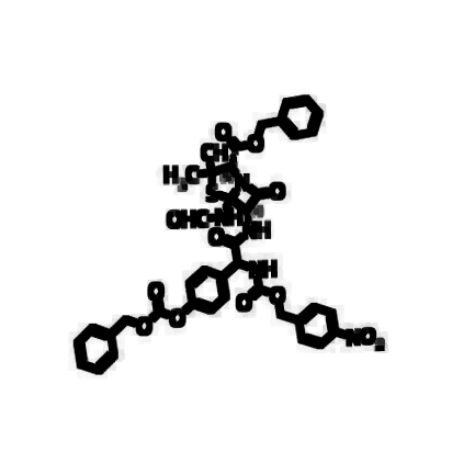 CC1(C)SC2(NC=O)[C@H](NC(=O)C(NC(=O)OCc3ccc([N+](=O)[O-])cc3)c3ccc(OC(=O)OCc4ccccc4)cc3)C(=O)N2[C@H]1C(=O)OCc1ccccc1